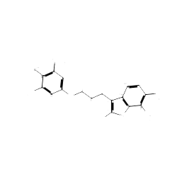 Cc1cc(OCCCc2c(C(F)(F)F)[nH]c3c(Br)c(Cl)ccc23)cc(C)c1Cl